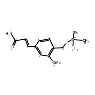 COc1cc(C=CC(N)=O)ccc1CO[Si](C)(C)C(C)(C)C